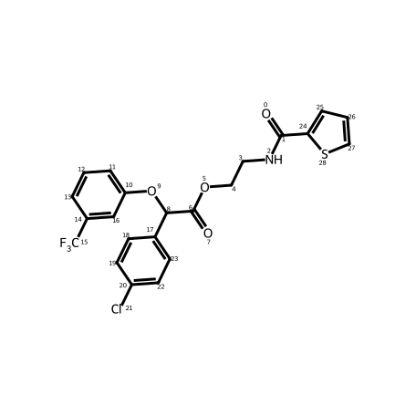 O=C(NCCOC(=O)C(Oc1cccc(C(F)(F)F)c1)c1ccc(Cl)cc1)c1cccs1